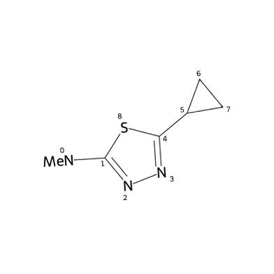 CNc1nnc(C2CC2)s1